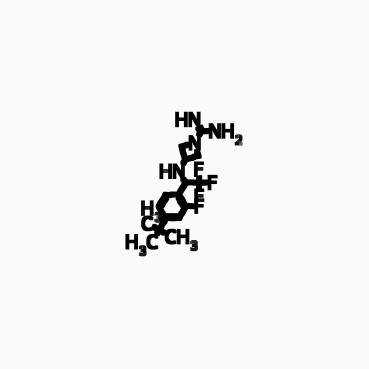 CC(C)(C)c1ccc(C(NC2CN(C(=N)N)C2)C(F)(F)F)c(F)c1